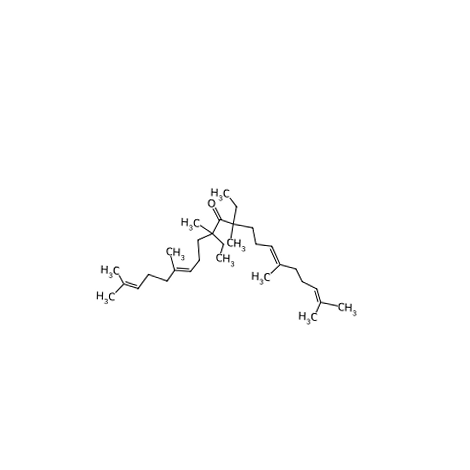 CCC(C)(CC/C=C(\C)CCC=C(C)C)C(=O)C(C)(CC)CC/C=C(\C)CCC=C(C)C